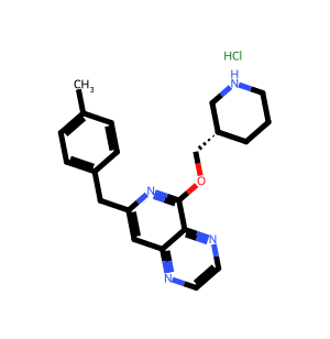 Cc1ccc(Cc2cc3nccnc3c(OC[C@H]3CCCNC3)n2)cc1.Cl